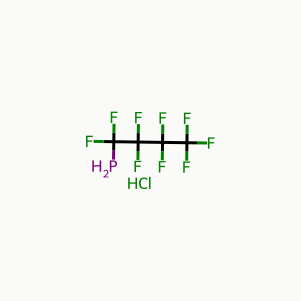 Cl.FC(F)(F)C(F)(F)C(F)(F)C(F)(F)P